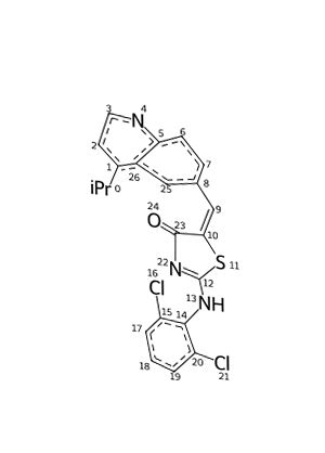 CC(C)c1ccnc2ccc(C=C3SC(Nc4c(Cl)cccc4Cl)=NC3=O)cc12